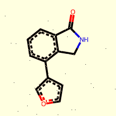 O=C1NCc2c1cccc2-c1ccoc1